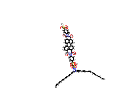 C#CC#CC#CC#CC#CC#CN(C#CC#CC#CC#CC#CC#C)S(=O)(=O)c1ccc(N2C(=O)c3ccc4c5ccc6c7c(ccc(c8ccc(c3c48)C2=O)c75)C(=O)N(c2ccc(S(C)(=O)=O)cc2)C6=O)cc1